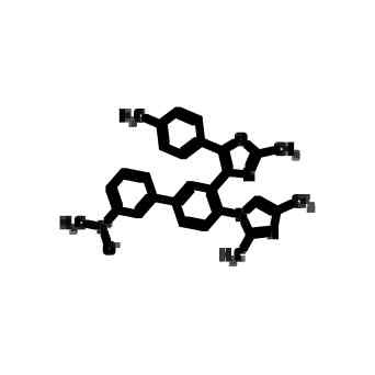 Cc1ccc(-c2oc(C)nc2-c2cc(-c3cccc([S+](C)[O-])c3)ccc2-n2cc(C(F)(F)F)nc2C)cc1